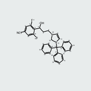 N#Cc1cc(F)c(C(O)CCN2C=CN(C(c3ccccc3)(c3ccccc3)c3ccccc3)C2)c(F)c1